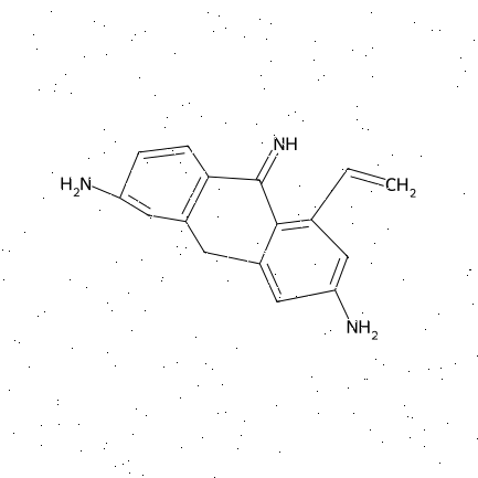 C=Cc1cc(N)cc2c1C(=N)c1ccc(N)cc1C2